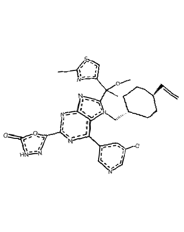 C=C[C@H]1CC[C@H](Cn2c(C(C)(OC)c3csc(C)n3)nc3nc(-c4n[nH]c(=O)o4)nc(-c4cncc(Cl)c4)c32)CC1